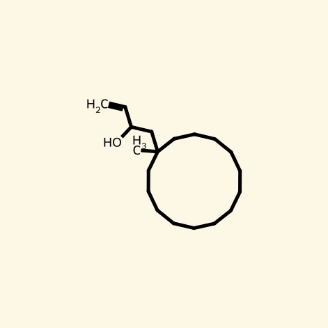 C=CC(O)CC1(C)CCCCCCCCCCCCC1